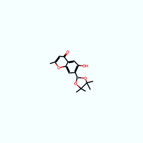 Cc1cc(=O)c2cc(O)c(B3OC(C)(C)C(C)(C)O3)cc2o1